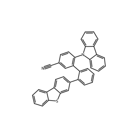 N#Cc1ccc(-n2c3ccccc3c3ccccc32)c(-c2ccccc2-c2ccc3c(c2)sc2ccccc23)c1